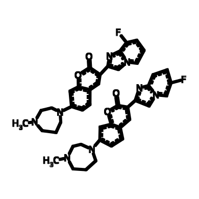 CN1CCCN(c2ccc3cc(-c4cn5cc(F)ccc5n4)c(=O)oc3c2)CC1.CN1CCCN(c2ccc3cc(-c4cn5cccc(F)c5n4)c(=O)oc3c2)CC1